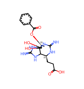 N=C1NC2[C@H](CCC(=O)O)NC(=N)N3C[C@H](OC(=O)c4ccccc4)C(O)(O)C23N1